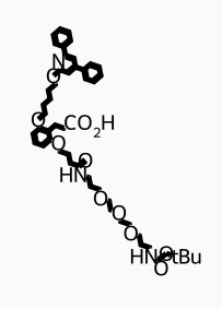 CC(C)(C)OC(=O)NCCCOCCOCCOCCCNC(=O)CCCOc1cccc(OCCCCCOc2cc(-c3ccccc3)cc(-c3ccccc3)n2)c1CCC(=O)O